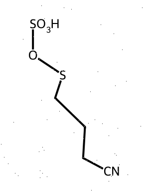 N#CCCCSOS(=O)(=O)O